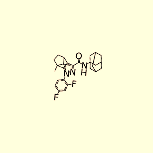 CC12CCC(c3c(C(=O)NC45CC6CC(CC(C6)C4)C5)nn(-c4ccc(F)cc4F)c31)C2(C)C